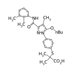 CCCCOc1c(C)c(C(=O)Nc2cccc(C)c2C)nn1-c1ccc(SC(C)(C)C(=O)O)cc1